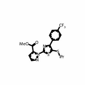 COC(=O)c1ccnn1-c1nc(-c2ccc(C(F)(F)F)cc2)c(SC(C)C)s1